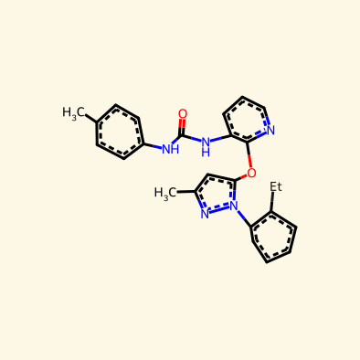 CCc1ccccc1-n1nc(C)cc1Oc1ncccc1NC(=O)Nc1ccc(C)cc1